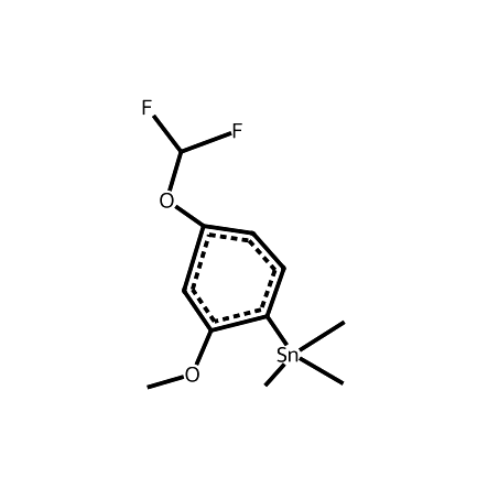 COc1cc(OC(F)F)cc[c]1[Sn]([CH3])([CH3])[CH3]